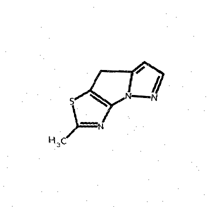 Cc1nc2c(s1)Cc1ccnn1-2